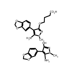 Cn1nc(O)c(-c2ccc3c(c2)OCO3)c1N.Cn1nc(OCCCC(=O)O)c(-c2ccc3c(c2)OCO3)c1N